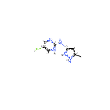 Cc1cc(Nc2ncc(F)cn2)n[nH]1